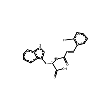 O=C(C=Cc1ccccc1F)N[C@@H](Cc1c[nH]c2ccccc12)C(=O)O